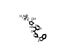 CN1Cc2ccccc2[C@H]1c1csc(C(=O)c2cncnc2N[C@@H]2C[C@H](COS(N)(=O)=O)[C@@H](O)C2)c1